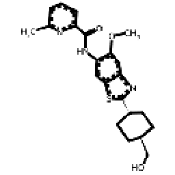 COc1cc2nc([C@H]3CC[C@H](CO)CC3)sc2cc1NC(=O)c1cccc(C)n1